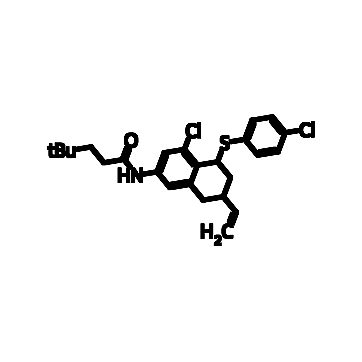 C=CC1Cc2cc(NC(=O)CCC(C)(C)C)cc(Cl)c2C(Sc2ccc(Cl)cc2)C1